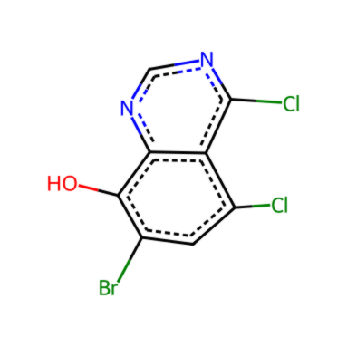 Oc1c(Br)cc(Cl)c2c(Cl)ncnc12